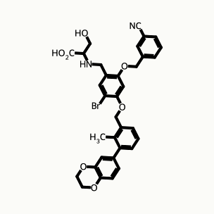 Cc1c(COc2cc(OCc3cccc(C#N)c3)c(CNC(CO)C(=O)O)cc2Br)cccc1-c1ccc2c(c1)OCCO2